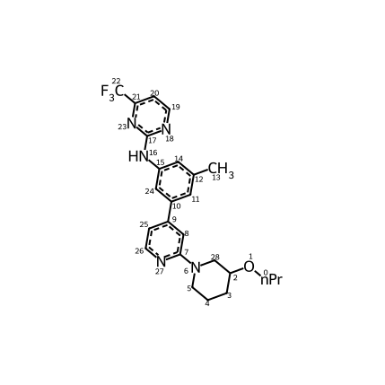 CCCOC1CCCN(c2cc(-c3cc(C)cc(Nc4nccc(C(F)(F)F)n4)c3)ccn2)C1